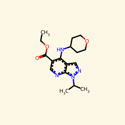 CCOC(=O)c1cnc2c(cnn2C(C)C)c1NC1CCOCC1